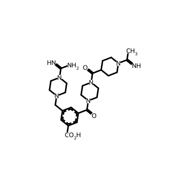 CC(=N)N1CCC(C(=O)N2CCN(C(=O)c3cc(CN4CCN(C(=N)N)CC4)cc(C(=O)O)c3)CC2)CC1